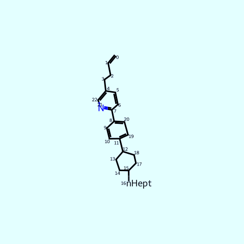 C=CCCc1ccc(-c2ccc(C3CCC(CCCCCCC)CC3)cc2)nc1